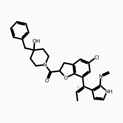 C=Nc1[nH]ccc1/C(=C\C)c1cc(Cl)cc2c1OC(C(=O)N1CCC(O)(Cc3ccccc3)CC1)C2